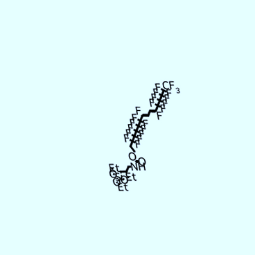 CCO[Si](CCCNC(=O)OCCC(F)(F)C(F)(F)C(F)(F)C(F)(F)C(F)(F)C(F)=CC=C(F)C(F)(F)C(F)(F)C(F)(F)C(F)(F)C(F)(F)F)(OCC)OCC